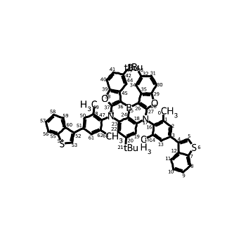 Cc1cc(-c2csc3ccccc23)cc(C)c1N1c2cc(C(C)(C)C)cc3c2B(c2c1oc1ccc(C(C)(C)C)cc21)c1c(oc2ccc(C(C)(C)C)cc12)N3c1c(C)cc(-c2csc3ccccc23)cc1C